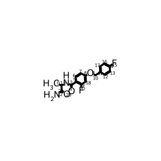 CC(NC(=O)c1ccc(OCc2ccc(F)cc2)cc1F)C(N)=O